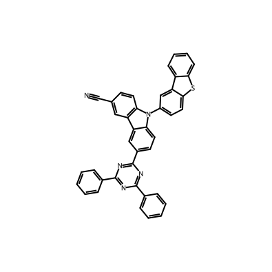 N#Cc1ccc2c(c1)c1cc(-c3nc(-c4ccccc4)nc(-c4ccccc4)n3)ccc1n2-c1ccc2sc3ccccc3c2c1